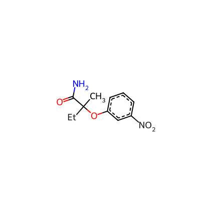 CCC(C)(Oc1cccc([N+](=O)[O-])c1)C(N)=O